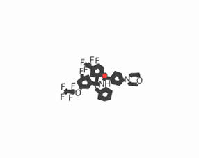 O=C(N[C@@](Cc1ccccc1)(c1cc(F)cc(OC(F)(F)C(F)F)c1)c1ccc(F)c(C(F)(F)F)c1)c1ccc(N2CCOCC2)cc1